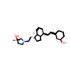 C[C@]1(O)CCN(CC[C@H]2CCC3/C(=C/C=C4/CCCC(O)C4)CCC[C@@]32C)C1